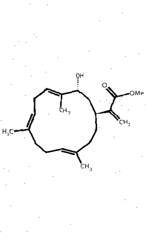 C=C(C(=O)OC)[C@H]1CC/C(C)=C/CC/C(C)=C/C/C=C(\C)[C@H](O)C1